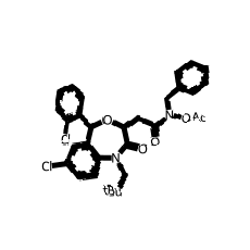 CC(=O)ON(Cc1ccccc1)C(=O)CC1OC(c2ccccc2Cl)c2cc(Cl)ccc2N(CC(C)(C)C)C1=O